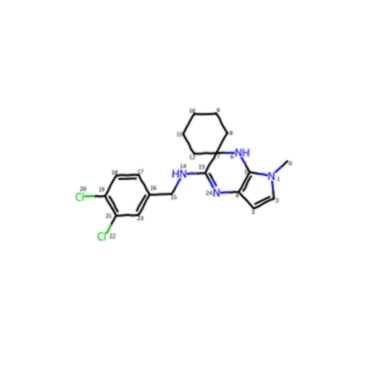 Cn1ccc2c1NC1(CCCCC1)C(NCc1ccc(Cl)c(Cl)c1)=N2